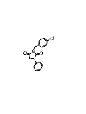 O=C1C=C(c2ccccc2)C(=O)N1Cc1ccc(Cl)cc1